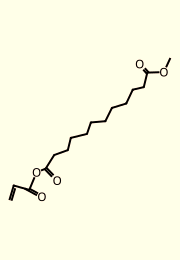 C=CC(=O)OC(=O)CCCCCCCCCCC(=O)OC